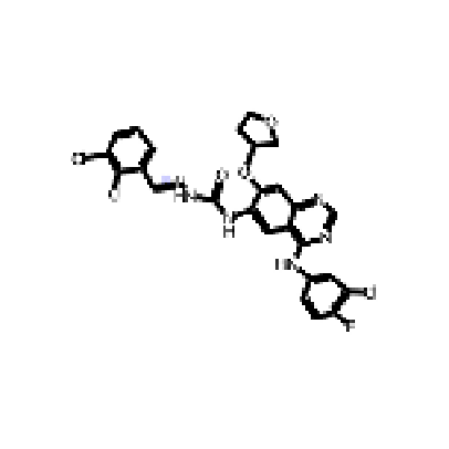 O=C(N/N=C/c1cccc(Cl)c1Cl)Nc1cc2c(Nc3ccc(F)c(Cl)c3)ncnc2cc1OC1CCOC1